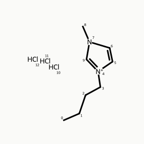 CCCC[n+]1ccn(C)c1.Cl.Cl.Cl